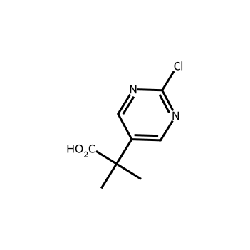 CC(C)(C(=O)O)c1cnc(Cl)nc1